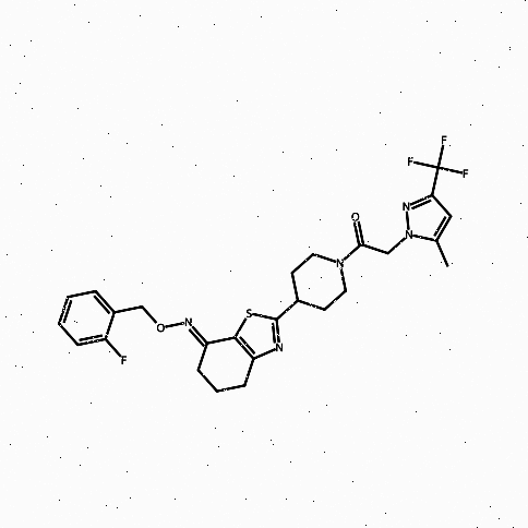 Cc1cc(C(F)(F)F)nn1CC(=O)N1CCC(c2nc3c(s2)C(=NOCc2ccccc2F)CCC3)CC1